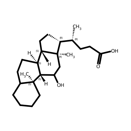 C[C@H](CCC(=O)O)[C@H]1CC[C@H]2[C@@H]3CCC4CCCC[C@]4(C)[C@H]3C(O)C[C@]12C